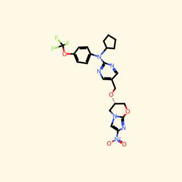 O=[N+]([O-])c1cn2c(n1)OC[C@@H](OCc1cnc(N(c3ccc(OC(F)(F)F)cc3)C3CCCC3)nc1)C2